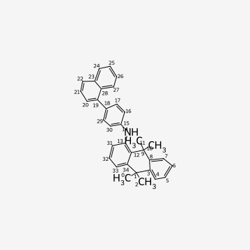 CC1(C)c2ccccc2C(C)(C)c2c(Nc3ccc(-c4cccc5ccccc45)cc3)cccc21